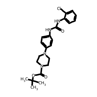 CC(C)(C)OC(=O)N1CCN(c2ccc(NC(=O)Nc3ccccc3Cl)cc2)CC1